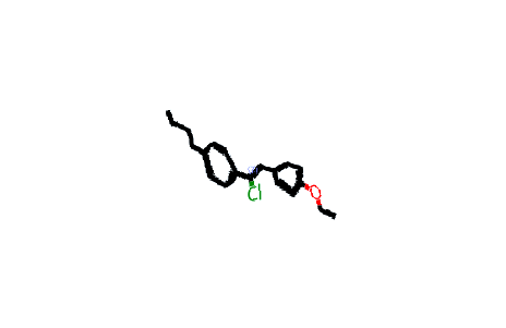 CCCCc1ccc(/C(Cl)=C/c2ccc(OCC)cc2)cc1